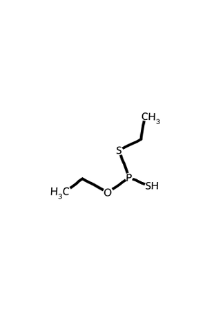 CCOP(S)SCC